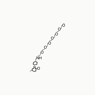 COCCOCCOCCOCCOCCOCCOCCCNCc1ccc(-n2cc(C)ccc2=O)cc1